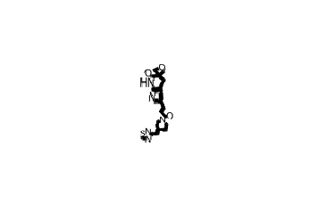 O=C(/C=C/c1cnc2c(c1)CC1(COC1)C(=O)N2)N1CCC(=Cc2ncsn2)CC1